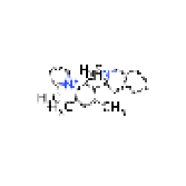 Cc1cc(C)c(-[n+]2ccccc2C)c(C)c1-c1cc2ccccc2c[n+]1C